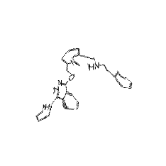 c1ccc(CCNCc2cccc(COc3nnc(-n4cccn4)c4ccccc34)n2)cc1